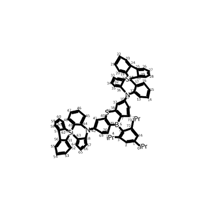 CC(C)c1cc(C(C)C)c(B2c3ccc(N4c5ccccc5[Si]5(c6ccccc6-c6ccccc65)c5ccccc54)cc3Sc3cc(N4c5ccccc5[Si]5(c6ccccc6-c6ccccc65)c5ccccc54)ccc32)c(C(C)C)c1